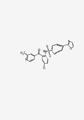 Cc1cc(C(=O)c2cc(Cl)ccc2NS(=O)(=O)c2ccc(-c3ncco3)cc2)ccn1